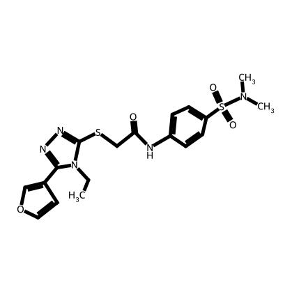 CCn1c(SCC(=O)Nc2ccc(S(=O)(=O)N(C)C)cc2)nnc1-c1ccoc1